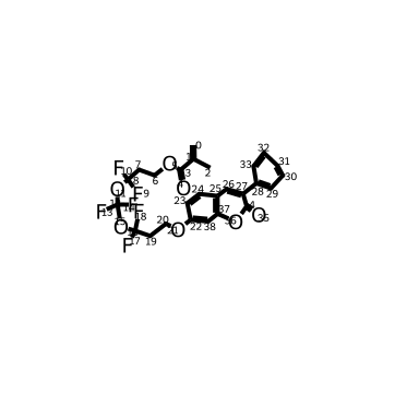 C=C(C)C(=O)OCCC(F)(F)OC(F)(F)OC(F)(F)CCOc1ccc2cc(-c3ccccc3)c(=O)oc2c1